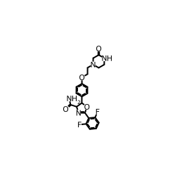 NC(=O)C1N=C(c2c(F)cccc2F)OC1c1ccc(OCCN2CCNC(=O)C2)cc1